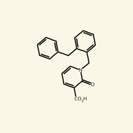 O=C(O)c1cccn(Cc2ccccc2Cc2ccccc2)c1=O